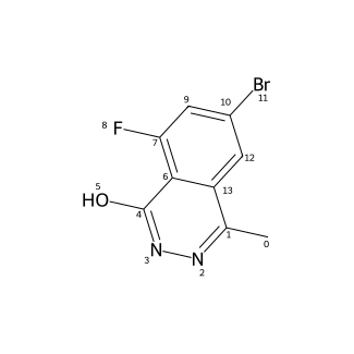 Cc1nnc(O)c2c(F)cc(Br)cc12